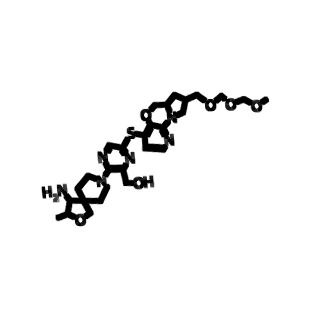 COCOCOCC1CC2COc3c(Sc4cnc(N5CCC6(CC5)COC(C)C6N)c(CO)n4)ccnc3N2C1